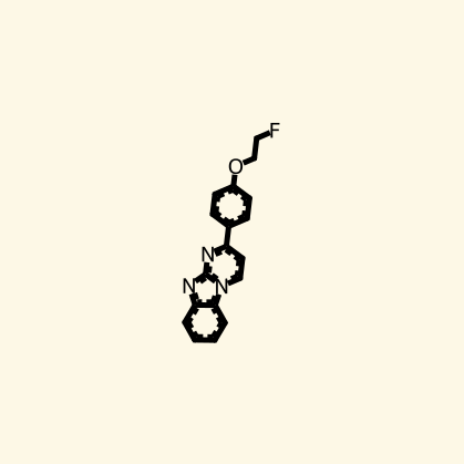 FCCOc1ccc(-c2ccn3c(n2)nc2ccccc23)cc1